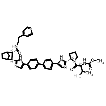 COC(=O)N[C@H](C(=O)N1CCC[C@H]1c1ncc(-c2ccc(-c3ccc(-c4cnc([C@H]5C6CCC(C6)[C@@H]5C(=O)NCCc5ccncc5)[nH]4)cc3)cc2)[nH]1)C(C)C